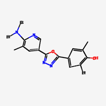 CCc1cc(-c2nnc(-c3cnc(N(CC)CC)c(C)c3)o2)cc(C)c1O